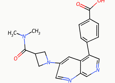 CN(C)C(=O)C1CN(c2cnc3cncc(-c4ccc(C(=O)O)cc4)c3c2)C1